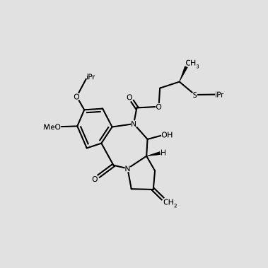 C=C1C[C@H]2C(O)N(C(=O)OC[C@@H](C)SC(C)C)c3cc(OC(C)C)c(OC)cc3C(=O)N2C1